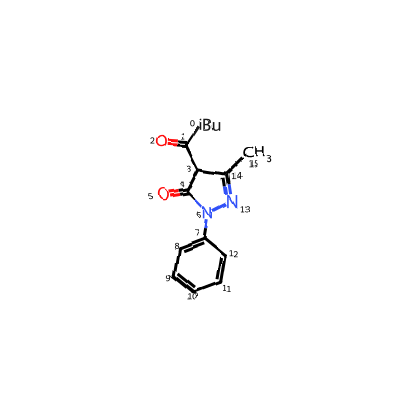 CCC(C)C(=O)C1C(=O)N(c2ccccc2)N=C1C